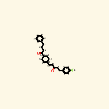 O=C(CCc1ccc(F)cc1)CCC1CCC(C(=O)CCCc2ccccc2)CC1